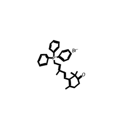 CC1=C(/C=C/C(C)=C/C[P+](c2ccccc2)(c2ccccc2)c2ccccc2)C(C)(C)C(=O)CC1.[Br-]